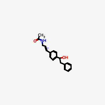 CC(=O)NC/C=C/c1ccc(C(O)Cc2ccccc2)cc1